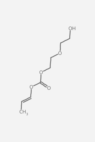 CC=COC(=O)OCCOCCO